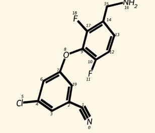 N#Cc1cc(Cl)cc(Oc2c(F)ccc(CN)c2F)c1